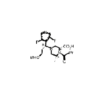 COCC[C@H](c1c(F)cncc1F)N1C[C@@H](C)N(C(=O)C(C)C)[C@@H](C(=O)O)C1